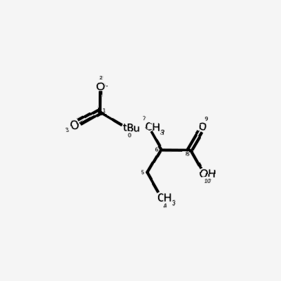 CC(C)(C)C([O])=O.CCC(C)C(=O)O